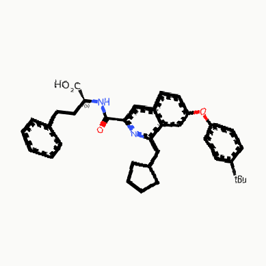 CC(C)(C)c1ccc(Oc2ccc3cc(C(=O)N[C@@H](CCc4ccccc4)C(=O)O)nc(CC4CCCC4)c3c2)cc1